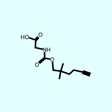 C#CCCC(C)(C)COC(=O)NCC(=O)O